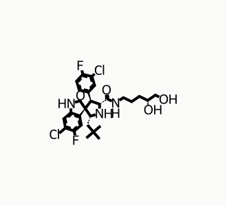 CC(C)(C)C[C@H]1N[C@@H](C(=O)NCCC[C@@H](O)CO)[C@H](c2ccc(F)c(Cl)c2)[C@@]12C(=O)Nc1cc(Cl)c(F)cc12